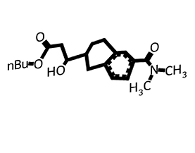 CCCCOC(=O)CC(O)C1CCc2cc(C(=O)N(C)C)ccc2C1